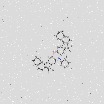 Cc1ccc(N2c3cc4c(cc3Oc3cc5c(cc32)C(C)(C)c2ccc3ccccc3c2-5)-c2c(ccc3ccccc23)C4(C)C)c(C)c1